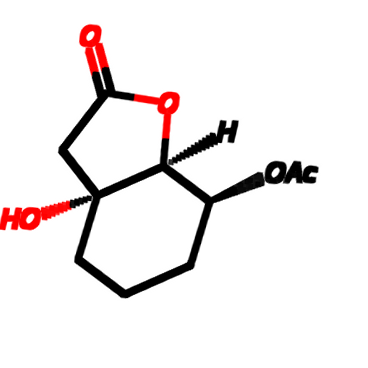 CC(=O)O[C@H]1CCC[C@@]2(O)CC(=O)O[C@@H]12